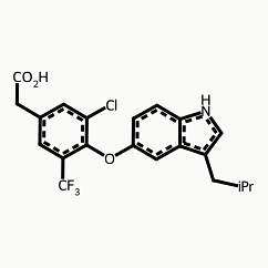 CC(C)Cc1c[nH]c2ccc(Oc3c(Cl)cc(CC(=O)O)cc3C(F)(F)F)cc12